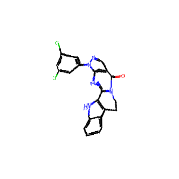 O=c1c2cnn(-c3cc(Cl)cc(Cl)c3)c2nc2n1CCc1c-2[nH]c2ccccc12